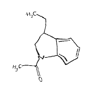 [CH2]CC1CN(C(C)=O)c2ccccc21